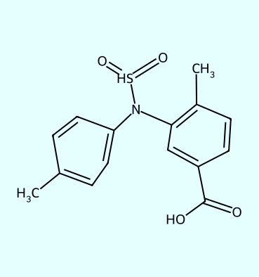 Cc1ccc(N(c2cc(C(=O)O)ccc2C)[SH](=O)=O)cc1